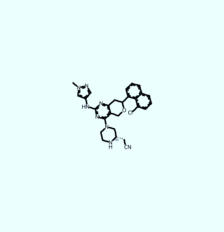 Cn1cc(Nc2nc3c(c(N4CCN[C@@H](CC#N)C4)n2)COC(c2cccc4cccc(Cl)c24)C3)cn1